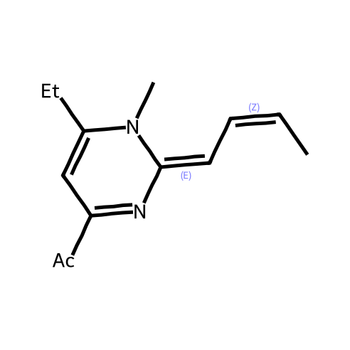 C/C=C\C=C1\N=C(C(C)=O)C=C(CC)N1C